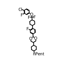 CCCCCC1CCC(C2COC(c3ccc(C4CCC(C(F)(F)Oc5ccc(Cl)c(F)c5)CC4)c(F)c3)OC2)CC1